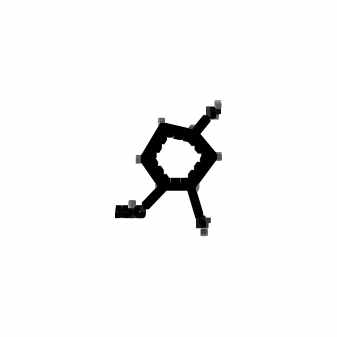 COc1ccc(Br)cc1Br